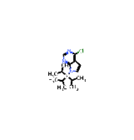 CC(C)[Si](C(C)C)(C(C)C)n1ccc2c(Cl)ncnc21